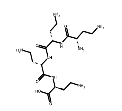 NCC[C@H](NC(=O)[C@H](CCN)NC(=O)[C@H](CCN)NC(=O)[C@@H](N)CCN)C(=O)O